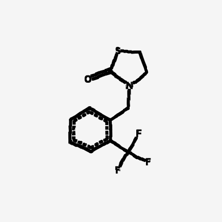 O=C1SCCN1Cc1ccccc1C(F)(F)F